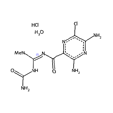 CN/C(=N/C(=O)c1nc(Cl)c(N)nc1N)NC(N)=O.Cl.O